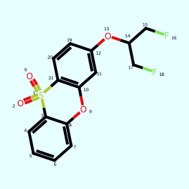 O=S1(=O)c2ccccc2Oc2cc(OC(CF)CF)ccc21